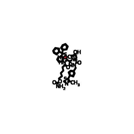 Cc1ncsc1-c1ccc(CNC(=O)[C@@H]2C[C@@H](O)CN2C(=O)C(NC(=O)CCCCCOC(N)=O)C(C)(C)SC(c2ccccc2)(c2ccccc2)c2ccccc2)cc1